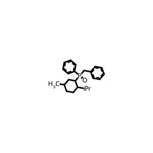 CC1CCC(C(C)C)C(P(=O)(Cc2ccccc2)c2ccccc2)C1